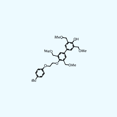 CCC(C)c1ccc(OCCOc2c(COC)cc(-c3cc(COC)c(O)c(COC)c3)cc2COC)cc1